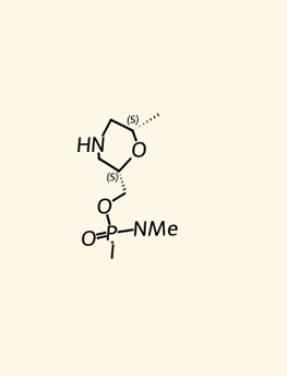 CNP(=O)(I)OC[C@@H]1CNC[C@H](C)O1